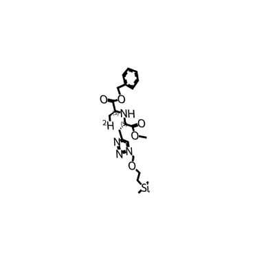 [2H]C[C@H](N[C@@H](Cc1cn(COCC[Si](C)(C)C)nn1)C(=O)OC)C(=O)OCc1ccccc1